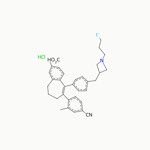 Cc1cc(C#N)ccc1C1=C(c2ccc(CC3CN(CCCF)C3)cc2)c2ccc(C(=O)O)cc2CCC1.Cl